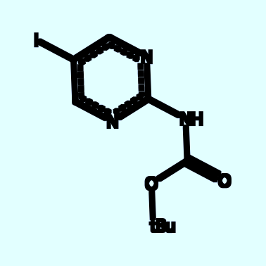 CC(C)(C)OC(=O)Nc1ncc(I)cn1